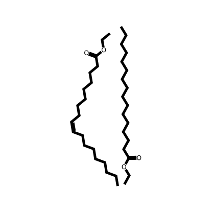 CCCCCCCC/C=C\CCCCCCCC(=O)OCC.CCCCCCCCCCCCCCCC(=O)OCC